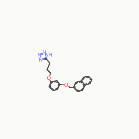 c1cc(OCCCc2nnn[nH]2)cc(OCc2ccc3ccccc3c2)c1